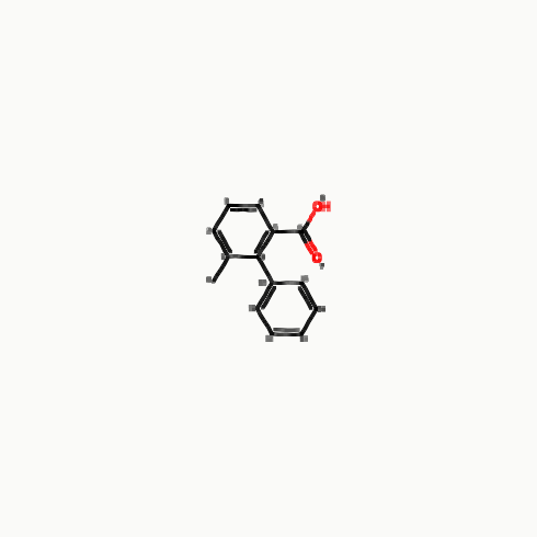 Cc1cc[c]c(C(=O)O)c1-c1ccccc1